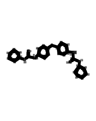 O=C(Nc1ccc(Cc2ccc(NC(=O)Oc3ccccc3)cc2)cc1)Oc1ccccc1